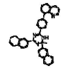 CC1(c2ccc3ccccc3c2)N=C(c2ccc3c(c2)CCC=C3)N=C(c2ccc(-c3cccc4cccnc34)cc2)N1